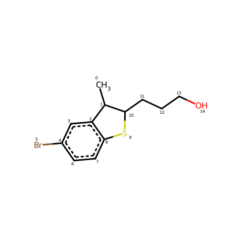 CC1c2cc(Br)ccc2SC1CCCO